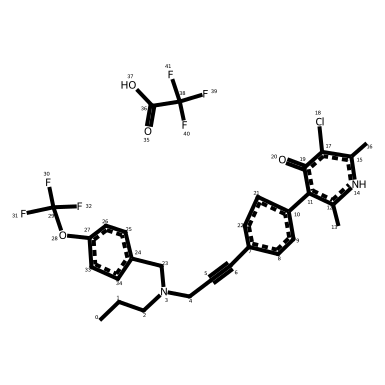 CCCN(CC#Cc1ccc(-c2c(C)[nH]c(C)c(Cl)c2=O)cc1)Cc1ccc(OC(F)(F)F)cc1.O=C(O)C(F)(F)F